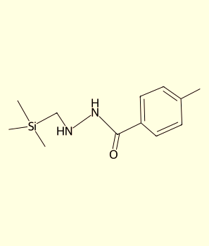 Cc1ccc(C(=O)NNC[Si](C)(C)C)cc1